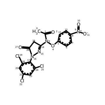 CC(=O)N(Oc1ccc([N+](=O)[O-])cc1)C1=NN(c2c(Cl)cc(Cl)cc2Cl)C(=O)C1